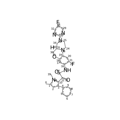 Cc1cc(-c2ccccc2)c(C(=O)C(=O)Nc2cc3c(cc2F)N2CCN(c4ncc(F)cn4)C[C@@H]2CO3)n1C